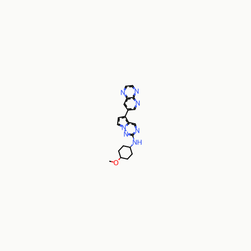 CO[C@H]1CC[C@@H](Nc2ncc3c(-c4cnc5nccnc5c4)ccn3n2)CC1